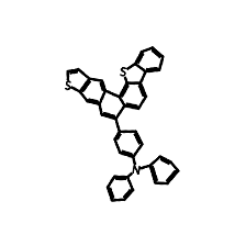 c1ccc(N(c2ccccc2)c2ccc(-c3cc4cc5sccc5cc4c4c3ccc3c5ccccc5sc34)cc2)cc1